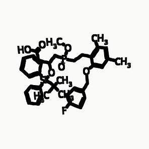 COP(=O)(CCc1c(C)cc(C)cc1OCc1ccc(F)cc1)CC(CC(=O)O)O[Si](c1ccccc1)(c1ccccc1)C(C)(C)C